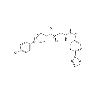 C[C@@H](NC(=O)C[C@@H](O)C(=O)N1CC2CC1CN2c1ccc(Cl)cc1)c1ccc(-n2cccn2)cc1